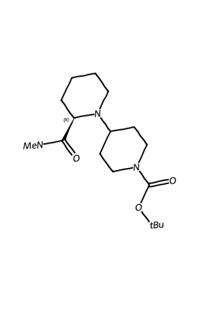 CNC(=O)[C@H]1CCCCN1C1CCN(C(=O)OC(C)(C)C)CC1